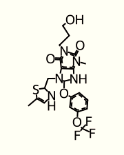 CC1=CNC(CN2c3c(n(C)c(=O)n(CCCO)c3=O)NC2Oc2cccc(OC(F)(F)F)c2)S1